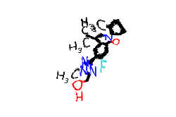 Cc1ccccc1-n1cc(C(C)C)c2cc(-c3nc(CO)n(C)n3)c(F)cc2c1=O